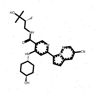 CC(C)(O)[C@H](F)CNC(=O)c1cnc(-c2ccc3cc(C#N)cnn23)cc1N[C@H]1CC[C@H](O)CC1